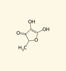 CC1OC(O)=C(O)C1=O